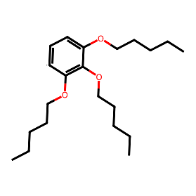 CCCCCOc1[c]ccc(OCCCCC)c1OCCCCC